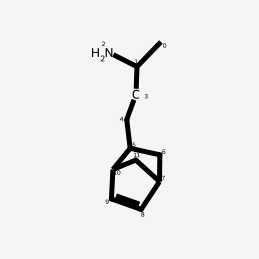 CC(N)CCC1CC2C=CC1C2